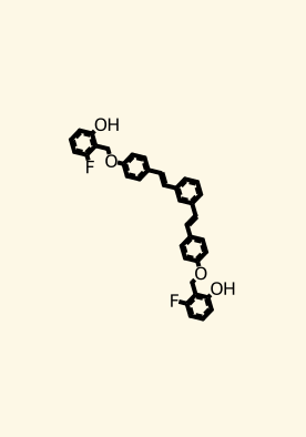 Oc1cccc(F)c1COc1ccc(/C=C/c2cccc(/C=C/c3ccc(OCc4c(O)cccc4F)cc3)c2)cc1